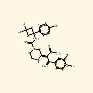 N#Cc1ccc(C2(NC(=O)N3CCN/C(=C(\C(=N)c4ccc(F)c(Cl)c4)C(N)=O)C3)CC(F)(F)C2)cc1